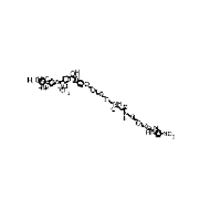 Cc1ccc2c(c1)NC[C@]21CCN(C[C@@H](OC(=O)C(F)(F)F)C2CCN(C(=O)c3cc4ccc(OCCOCCOCCOCCNC(=O)CCC(=O)NCCOCCOCCOCCNc5ccc([N+](=O)[O-])cc5[N+](=O)[O-])cc4[nH]3)CC2)C[C@H]1C